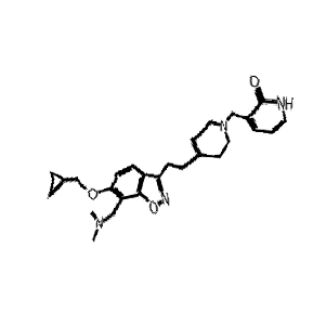 CN(C)Cc1c(OCC2CC2)ccc2c(CCC3CCN(Cc4ccc[nH]c4=O)CC3)noc12